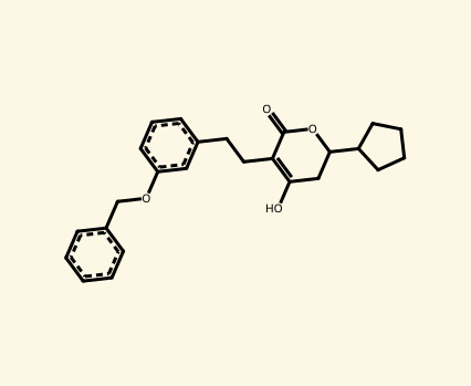 O=C1OC(C2CCCC2)CC(O)=C1CCc1cccc(OCc2ccccc2)c1